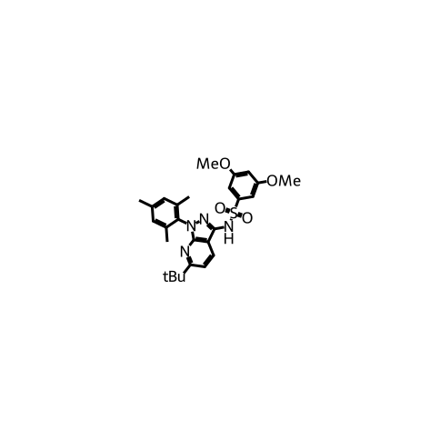 COc1cc(OC)cc(S(=O)(=O)Nc2nn(-c3c(C)cc(C)cc3C)c3nc(C(C)(C)C)ccc23)c1